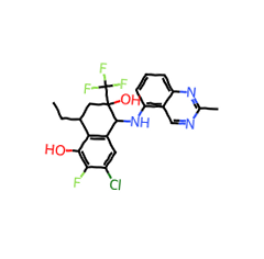 CCC1CC(O)(C(F)(F)F)C(Nc2cccc3nc(C)ncc23)c2cc(Cl)c(F)c(O)c21